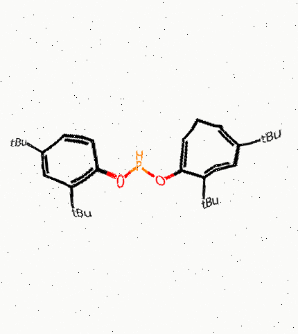 CC(C)(C)C1=CCC=C(OPOc2ccc(C(C)(C)C)cc2C(C)(C)C)C(C(C)(C)C)=C1